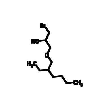 CCCCC(CC)COCC(O)CBr